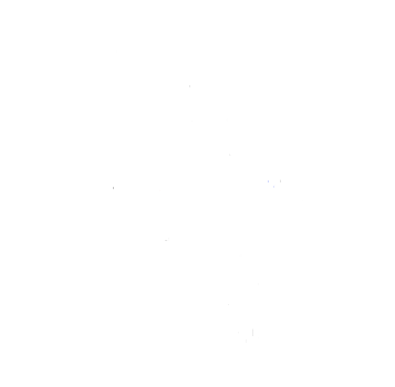 CCCCCCCCN(C)CCCCCC.O=P([O-])([O-])O.[H+].[H+]